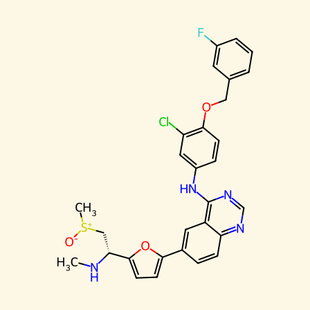 CN[C@H](C[S+](C)[O-])c1ccc(-c2ccc3ncnc(Nc4ccc(OCc5cccc(F)c5)c(Cl)c4)c3c2)o1